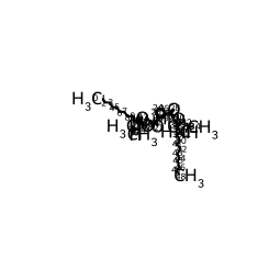 CCCCCCCCCCNC(=O)[C@@H](CC(C)C)ONC(=O)c1cccc(C(=O)NO[C@H](CC(C)C)C(=O)NCCCCCCCCCC)c1